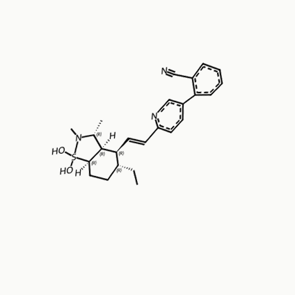 CC[C@@H]1CC[C@@H]2[C@H]([C@H]1C=Cc1ccc(-c3ccccc3C#N)cn1)[C@@H](C)N(C)S2(O)O